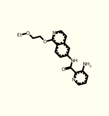 CCOCCOc1nccc2cc(NC(=O)c3ncccc3N)ccc12